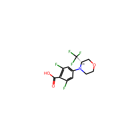 O=C(O)c1c(F)cc(N2CCOC[C@H]2C(F)(F)F)cc1F